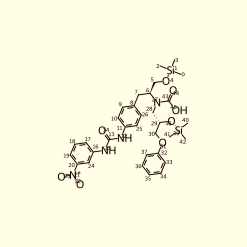 C[Si](C)(C)OC[C@H](Cc1ccc(NC(=O)Nc2cccc([N+](=O)[O-])c2)cc1)N(C[C@@H](COc1ccccc1)O[Si](C)(C)C)C(=O)O